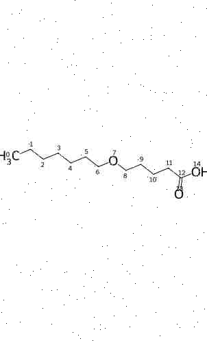 CCCCCCCOCCCCC(=O)O